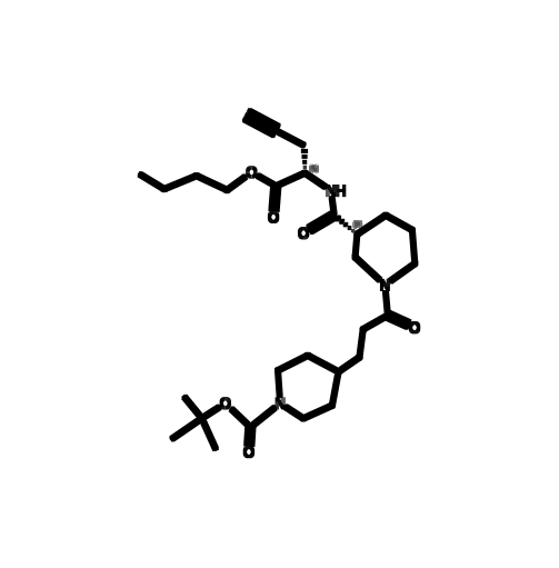 C#CC[C@H](NC(=O)[C@@H]1CCCN(C(=O)CCC2CCN(C(=O)OC(C)(C)C)CC2)C1)C(=O)OCCCC